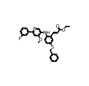 CCOC(=O)/C=C/c1cc(SCc2ccccc2)ccc1Nc1cnc(-c2cccc(F)c2)cc1OC